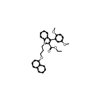 CCOC(=O)c1c(-c2cc(OC)ccc2OC)c2ccccc2n1CCCOc1cccc2ccccc12